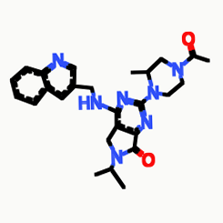 CC(=O)N1CCN(c2nc(NCc3cnc4ccccc4c3)c3c(n2)C(=O)N(C(C)C)C3)C(C)C1